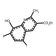 CCOC(=O)c1cc2c(I)cc(I)c(O)c2nc1C